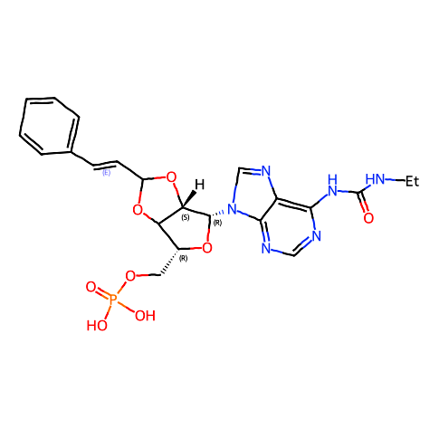 CCNC(=O)Nc1ncnc2c1ncn2[C@@H]1O[C@H](COP(=O)(O)O)C2OC(/C=C/c3ccccc3)O[C@@H]21